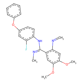 C=Nc1cc(OC)c(OC)cc1/C(=N\C)Nc1ccc(Oc2ccccc2)cc1F